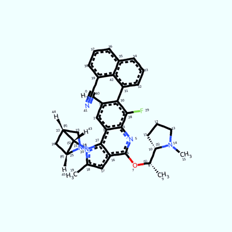 Cc1cc2c(nc(O[C@@H](C)[C@@H]3CCCN3C)c3cc(C)n([C@H]4[C@H]5CN[C@@H]4C5)c32)c(F)c1-c1cccc2cccc(C#N)c12